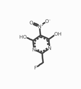 O=[N+]([O-])c1c(O)nc(CF)nc1O